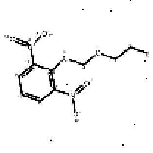 CCCOCOc1c([N+](=O)[O-])cccc1[N+](=O)[O-]